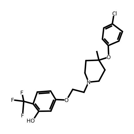 CC1(Oc2ccc(Cl)cc2)CCN(CCOc2ccc(C(F)(F)F)c(O)c2)CC1